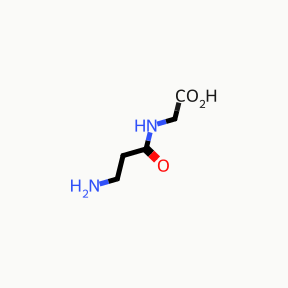 NCCC(=O)NCC(=O)O